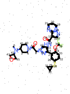 CN(C1CCN(C(=O)Cn2cc(NC(=O)c3cnn4cccnc34)c(-c3cc(SC4CC4)ccc3OC(F)F)n2)CC1)C1COC1